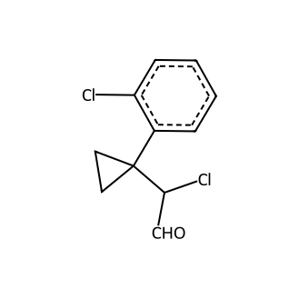 O=CC(Cl)C1(c2ccccc2Cl)CC1